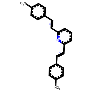 O=[N+]([O-])c1ccc(/C=C/c2cccc(/C=C/c3ccc([N+](=O)[O-])cc3)n2)cc1